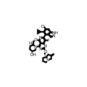 C=C1CN2CCC[C@@]2(COc2nc3c4c(nc(-c5c(C6CC6)c(Cl)cc6[nH]ncc56)c(F)c4n2)OC[C@@H]2CC[C@H](O)CN32)C1